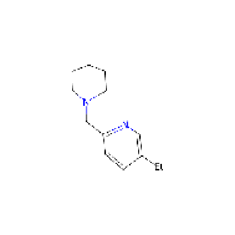 CCc1ccc(CN2CCCCC2)nc1